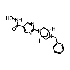 O=C(NO)c1cnc(N2C[C@@H]3C[C@H]2CN3Cc2ccccc2)nc1